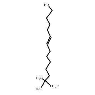 CCOC(=O)C(C)(C)CCCCC/C=C/CCCCO